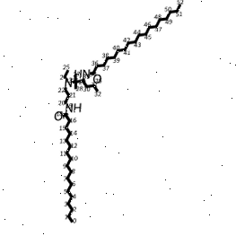 CCCCCCCCCCCCCCCCCC(=O)NCCCN(CC)C(C)(C)C(CCC)NC(=O)CCCCCCCCCCCCCCCCC